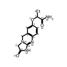 CCC(Oc1ccc2c(c1)CN1CC(=O)NC1=N2)C(N)=O